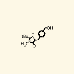 CN1C(=O)[C@@H](Cc2ccc(CO)cc2)N[C@H]1C(C)(C)C